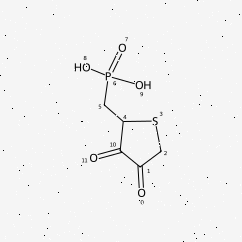 O=C1CSC(CP(=O)(O)O)C1=O